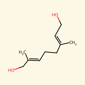 CC(=CCO)CC/C=C(\C)CO